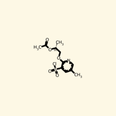 CC(=O)O[C@H](C)COc1ncc(C)cc1S(=O)(=O)Cl